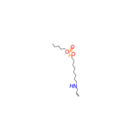 C=CCNCCCCCCCCO[PH](=O)OCCCCC